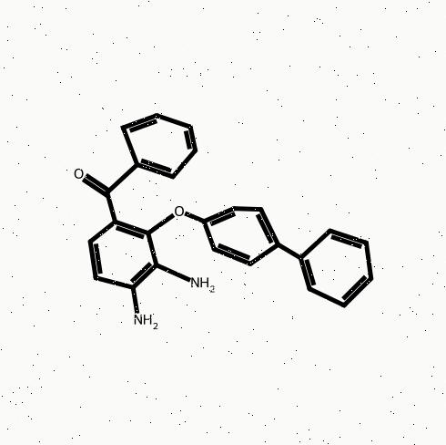 Nc1ccc(C(=O)c2ccccc2)c(Oc2ccc(-c3ccccc3)cc2)c1N